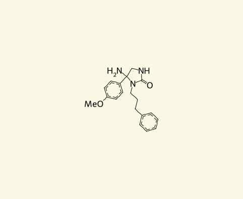 COc1ccc(C2(N)CNC(=O)N2CCCc2ccccc2)cc1